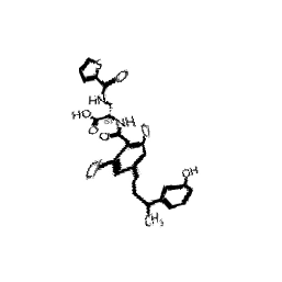 CC(CCc1cc(Cl)c(C(=O)N[C@@H](CNC(=O)c2cccs2)C(=O)O)c(Cl)c1)c1cccc(O)c1